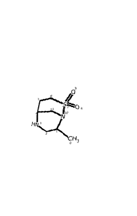 CC1CNC2CCS(=O)(=O)N1C2